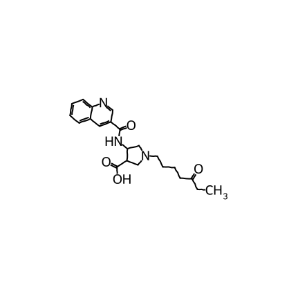 CCC(=O)CCCCN1CC(NC(=O)c2cnc3ccccc3c2)C(C(=O)O)C1